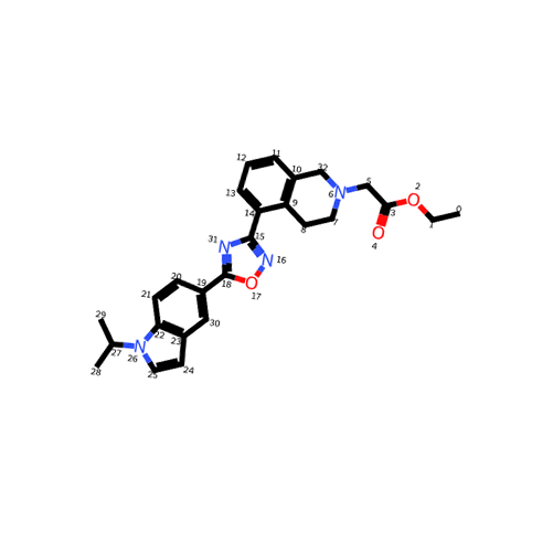 CCOC(=O)CN1CCc2c(cccc2-c2noc(-c3ccc4c(ccn4C(C)C)c3)n2)C1